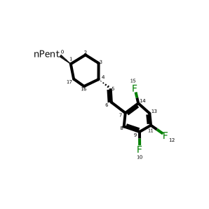 CCCCC[C@H]1CC[C@H](C=Cc2cc(F)c(F)cc2F)CC1